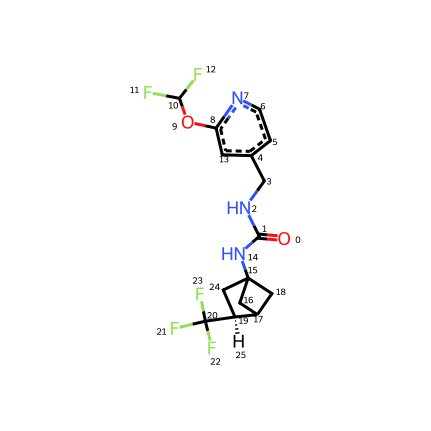 O=C(NCc1ccnc(OC(F)F)c1)NC12CC(C1)[C@@H](C(F)(F)F)C2